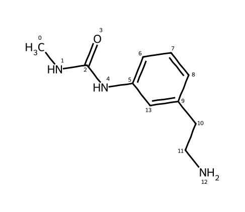 CNC(=O)Nc1cccc(CCN)c1